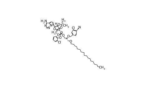 CCCCCCCCCCCCCCCCCCOC[C@H](COP(=O)(Oc1ccccc1Cl)OC1[C@@]2(C)O[C@@H](c3ccc4c(N)ncnn34)[C@@H]3OC(C)(C)O[C@@]132)OCc1ccc(C#N)c(Cl)c1